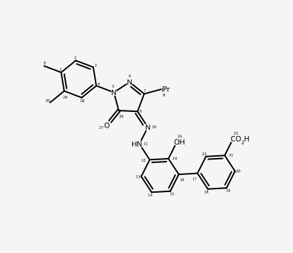 Cc1ccc(N2N=C(C(C)C)/C(=N/Nc3cccc(-c4cccc(C(=O)O)c4)c3O)C2=O)cc1C